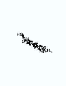 CS(=O)(=O)N1CCN(c2ccc(N3CC4CN(C(=O)NCCO)CC4C3)cc2)CC1